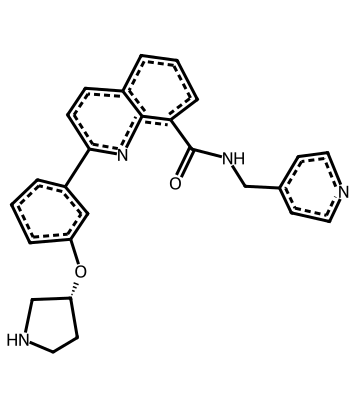 O=C(NCc1ccncc1)c1cccc2ccc(-c3cccc(O[C@@H]4CCNC4)c3)nc12